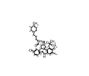 CN1CCN(CCCNC(=O)[C@@H]2N[C@H](CC(C)(C)C)[C@]3(C(=O)Nc4cc(I)c(F)cc43)[C@H]2c2cccc(Cl)c2)CC1